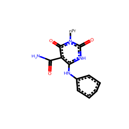 CCCn1c(=O)[nH]c(Nc2ccccc2)c(C(N)=O)c1=O